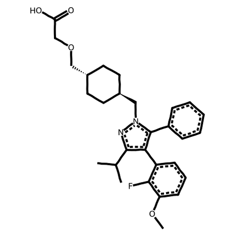 COc1cccc(-c2c(C(C)C)nn(C[C@H]3CC[C@H](COCC(=O)O)CC3)c2-c2ccccc2)c1F